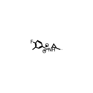 [CH2]C1CC1NS(=O)(=O)c1ccc(F)c(C)c1